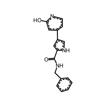 O=C(NCc1ccccc1)c1cc(-c2ccnc(O)c2)c[nH]1